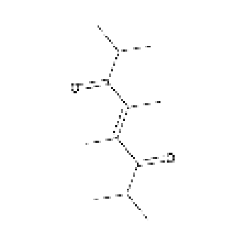 C/C(C(=O)C(C)C)=C(/C)C(=O)C(C)C